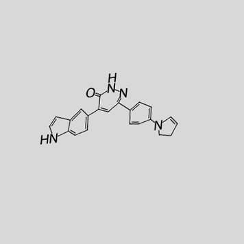 O=c1[nH]nc(-c2ccc(N3C=CCC3)cc2)cc1-c1ccc2[nH]ccc2c1